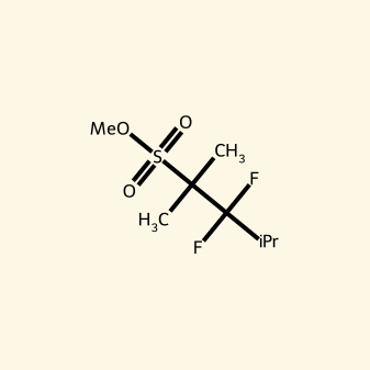 COS(=O)(=O)C(C)(C)C(F)(F)C(C)C